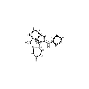 Nc1ncnc2cc(Nc3ccccc3)n(C3CCNCC3)c12